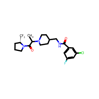 CC(C(=O)N1CCC[C@@H]1C(F)(F)F)N1CCC(CNC(=O)c2cc(F)cc(Cl)c2)CC1